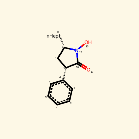 CCCCCCC[C@H]1C[C@@H](c2ccccc2)C(=O)N1O